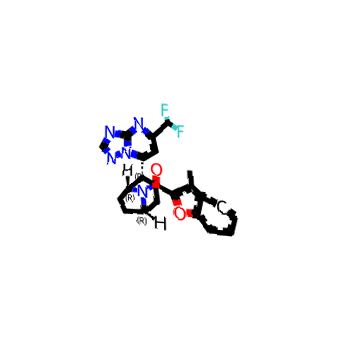 Cc1c(C(=O)N2[C@H]3CC[C@@H]2[C@H](c2cc(C(F)F)nc4ncnn24)CC3)oc2ccccc12